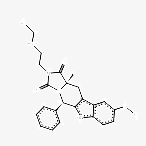 CCOc1ccc2[nH]c3c(c2c1)C[C@@]1(C)C(=O)N(CCNCC(C)C)C(=O)N1[C@@H]3c1ccccc1